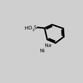 O=S(=O)(O)c1ccccc1.[Na].[Ni]